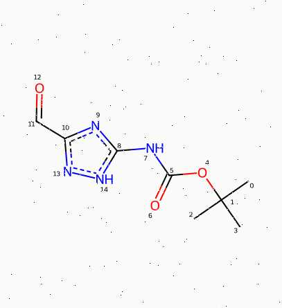 CC(C)(C)OC(=O)Nc1nc(C=O)n[nH]1